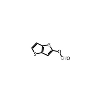 O=COc1cc2sccc2s1